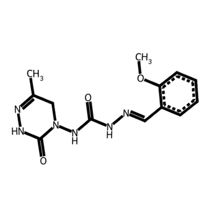 COc1ccccc1/C=N/NC(=O)NN1CC(C)=NNC1=O